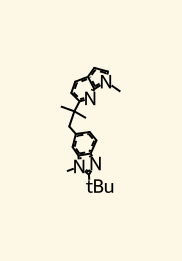 Cn1ccc2ccc(C(C)(C)Cc3ccc4nc(C(C)(C)C)n(C)c4c3)nc21